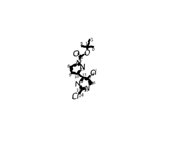 CC(C)(C)OC(=O)n1ccc(-c2nc(Cl)ncc2Cl)n1